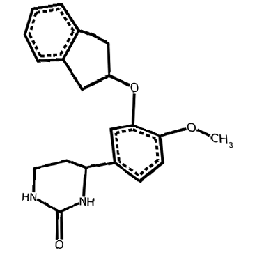 COc1ccc(C2CCNC(=O)N2)cc1OC1Cc2ccccc2C1